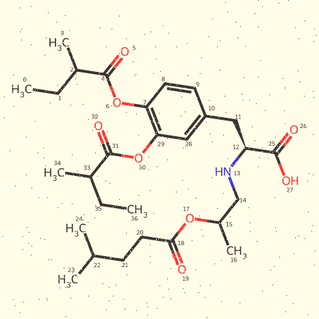 CCC(C)C(=O)Oc1ccc(C[C@H](NCC(C)OC(=O)CCC(C)C)C(=O)O)cc1OC(=O)C(C)CC